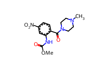 COC(=O)Nc1cc([N+](=O)[O-])ccc1C(=O)N1CCN(C)CC1